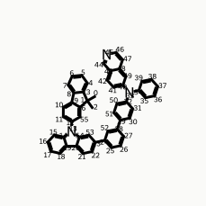 CC1(C)c2ccccc2-c2ccc(-n3c4ccccc4c4ccc(-c5cccc(-c6ccc(N(c7ccccc7)c7ccc8cnccc8c7)cc6)c5)cc43)cc21